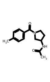 CC(=O)NC1CCN(C(=O)c2ccc(C)cc2)C1